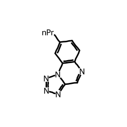 CCCc1ccc2ncc3nnnn3c2c1